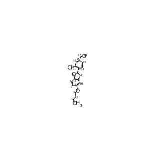 CCCCOc1ccc2c(c1)CC(c1ccc(C=O)cc1Cl)O2